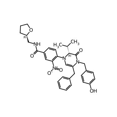 CC(C)[C@@H]1C(=O)N(Cc2ccc(O)cc2)C(Cc2ccccc2)=CN1c1ccc(C(=O)NC[C@H]2CCCO2)cc1[N+](=O)[O-]